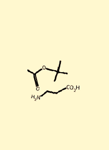 CC(=O)OC(C)(C)C.NCCC(=O)O